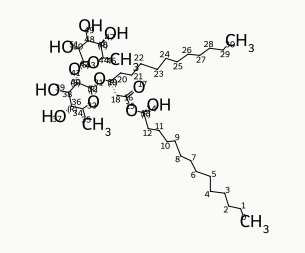 CCCCCCCCCCCCC[C@H](O)OC(=O)C[C@@H](CCCCCCCCCCC)O[C@@H]1OC(C)[C@H](O)C(O)[C@@H]1O[C@@H]1OC(C)[C@H](O)C(O)C1O